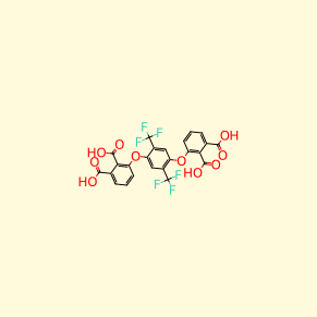 O=C(O)c1cccc(Oc2cc(C(F)(F)F)c(Oc3cccc(C(=O)O)c3C(=O)O)cc2C(F)(F)F)c1C(=O)O